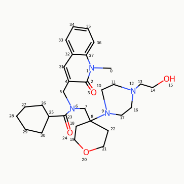 Cn1c(=O)c(CN(CC2(N3CCN(CCO)CC3)CCOCC2)C(=O)C2CCCCC2)cc2ccccc21